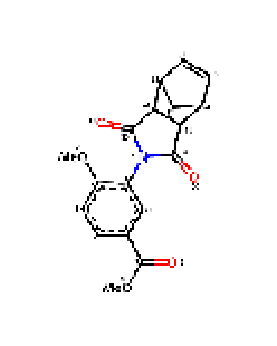 COC(=O)c1ccc(OC)c(N2C(=O)C3C4C=CC(C4)C3C2=O)c1